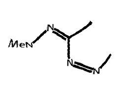 C/N=N\C(C)=N/NC